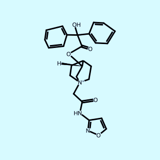 O=C(C[N+]12CCC(CC1)[C@@H](OC(=O)C(O)(c1ccccc1)c1ccccc1)C2)Nc1ccon1